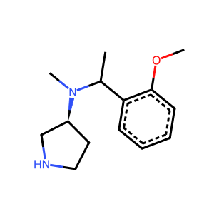 COc1ccccc1C(C)N(C)[C@H]1CCNC1